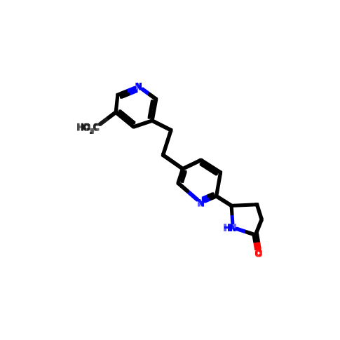 O=C1CCC(c2ccc(CCc3cncc(C(=O)O)c3)cn2)N1